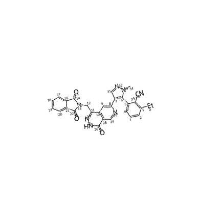 CCc1cccc(-c2c(-c3cc4c(CN5C(=O)c6ccccc6C5=O)n[nH]c(=O)c4cn3)cnn2C)c1C#N